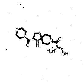 N[C@@H](CO)C(=O)N1CCC2(CC1)N[C@H](C(=O)N1CCOCC1)CS2